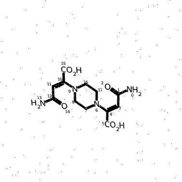 NC(=O)/C=C(/C(=O)O)N1CCN(/C(=C\C(N)=O)C(=O)O)CC1